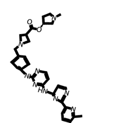 Cc1cccc(-c2nccc(Nc3ccnc(Nc4ccc(CN5CC(C(=O)O[C@H]6CCN(C)C6)C5)cc4)n3)n2)n1